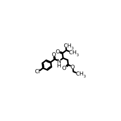 CCOC(=O)CC(NC(=O)c1ccc(Cl)cc1)C(=O)C(C)C